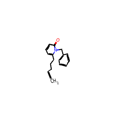 C=CCCCc1cccc(=O)n1Cc1ccccc1